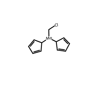 Cl[CH2][Mo]([CH]1C=CC=C1)[CH]1C=CC=C1